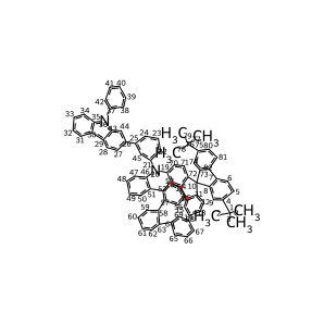 CC(C)(C)c1ccc2c(c1)C1(c3ccccc3-c3cc(N(c4cccc(-c5ccc6c7ccccc7n(-c7ccccc7)c6c5)c4)c4ccccc4-c4ccccc4-c4ccccc4-c4ccccc4)ccc31)c1cc(C(C)(C)C)ccc1-2